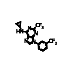 FC(F)(F)c1cccc(-n2cnc3c(NC4CC4)nc(C(F)(F)F)nc32)c1